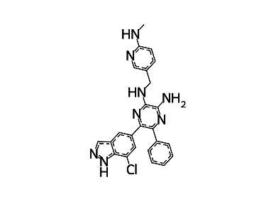 CNc1ccc(CNc2nc(-c3cc(Cl)c4[nH]ncc4c3)c(-c3ccccc3)nc2N)cn1